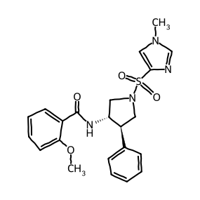 COc1ccccc1C(=O)N[C@@H]1CN(S(=O)(=O)c2cn(C)cn2)C[C@H]1c1ccccc1